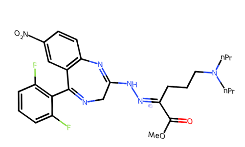 CCCN(CCC)CCC/C(=N\NC1=Nc2ccc([N+](=O)[O-])cc2C(c2c(F)cccc2F)=NC1)C(=O)OC